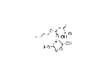 C=C(CC(=O)OCCCC)C(=O)O.O=C(O)/C=C\C(=O)O